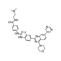 CN(C)CCNC(=O)c1ccc(NC(=O)Nc2ccc(-c3nc(N4CCOCC4)c4ccc(-c5cncnc5)cc4n3)cc2F)cc1